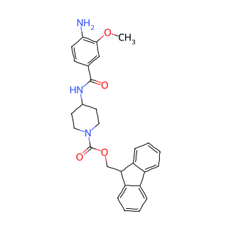 COc1cc(C(=O)NC2CCN(C(=O)OCC3c4ccccc4-c4ccccc43)CC2)ccc1N